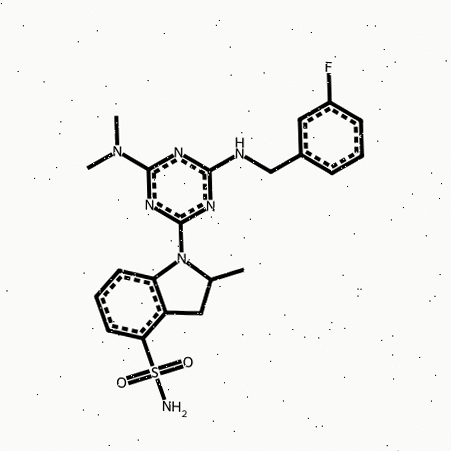 CC1Cc2c(cccc2S(N)(=O)=O)N1c1nc(NCc2cccc(F)c2)nc(N(C)C)n1